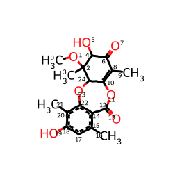 COC1(C)C(O)C(=O)C(C)=C2OC(=O)c3c(C)cc(O)c(C)c3OC21